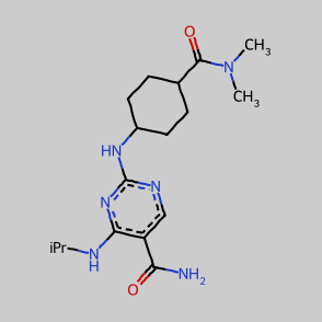 CC(C)Nc1nc(NC2CCC(C(=O)N(C)C)CC2)ncc1C(N)=O